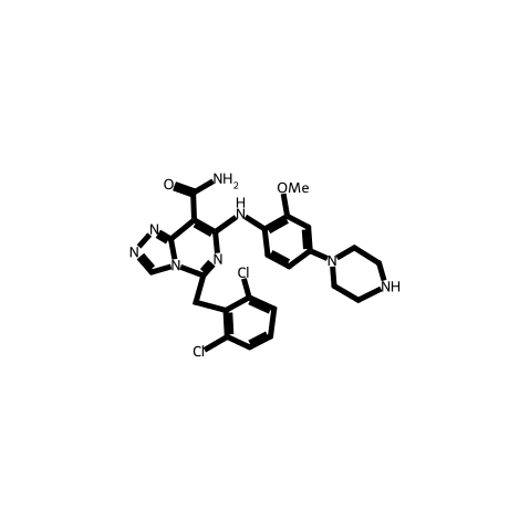 COc1cc(N2CCNCC2)ccc1Nc1nc(Cc2c(Cl)cccc2Cl)n2cnnc2c1C(N)=O